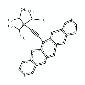 CC(C)[Si](C#Cc1c2cc3ccncc3cc2cc2cc3ccncc3cc12)(C(C)C)C(C)C